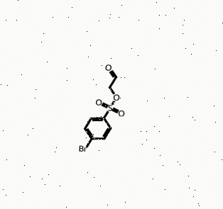 O=CCOS(=O)(=O)c1ccc(Br)cc1